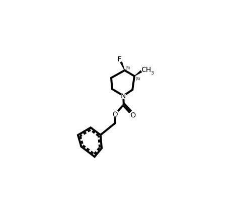 C[C@H]1CN(C(=O)OCc2ccccc2)CC[C@H]1F